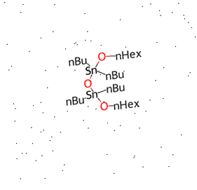 CCCCCC[O][Sn]([CH2]CCC)([CH2]CCC)[O][Sn]([CH2]CCC)([CH2]CCC)[O]CCCCCC